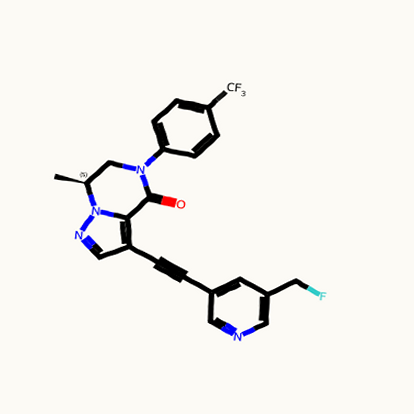 C[C@H]1CN(c2ccc(C(F)(F)F)cc2)C(=O)c2c(C#Cc3cncc(CF)c3)cnn21